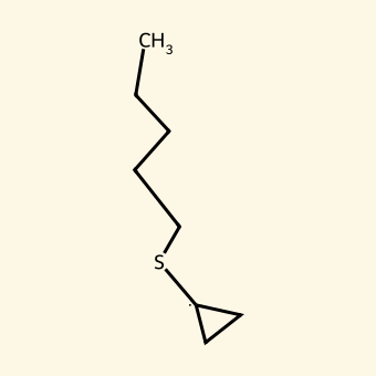 CCCCCS[C]1CC1